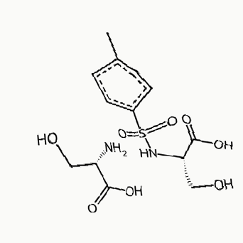 Cc1ccc(S(=O)(=O)N[C@@H](CO)C(=O)O)cc1.N[C@@H](CO)C(=O)O